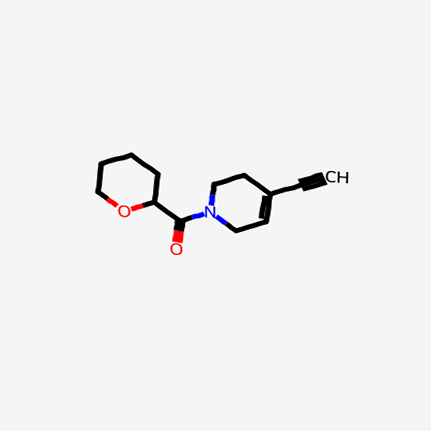 C#CC1=CCN(C(=O)C2CCCCO2)CC1